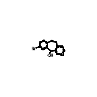 OC1c2cnccc2C=Cc2ccc(Br)cc21